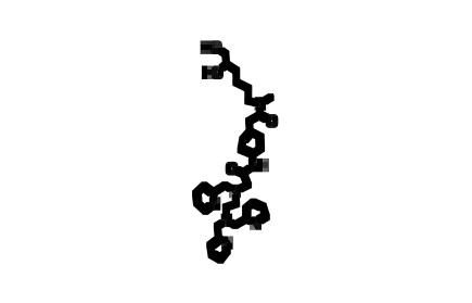 CN(CCCCC(O)CO)C(=O)Cc1ccc(NC(=O)CN(CCN(Cc2ccccn2)Cc2ccccn2)Cc2ccccn2)cc1